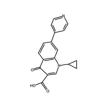 O=C(O)c1cn(C2CC2)c2cc(-c3ccncc3)ccc2c1=O